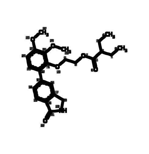 CCC(CC)C(=O)OCCOc1c(-c2ccc3c(c2)CNC3=O)ccc(OC)c1OC